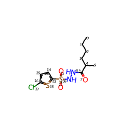 CCCCC(C)C(=O)NNS(=O)(=O)c1ccc(Cl)s1